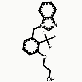 OCCOc1cccc(Cn2cnc3ccccc32)c1C(F)(F)F